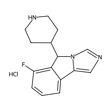 Cl.Fc1cccc2c1C(C1CCNCC1)n1cncc1-2